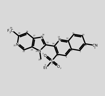 CCS(=O)(=O)c1cc2cc(C#N)ccc2nc1-c1nc2cc(C(F)(F)F)ncc2n1C